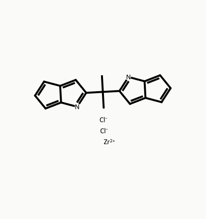 CC(C)(C1=NC2=CC=CC2=C1)C1=NC2=CC=CC2=C1.[Cl-].[Cl-].[Zr+2]